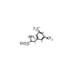 CCOC(=O)C(N)Cc1cc(C(F)(F)F)cc(C(F)(F)F)c1